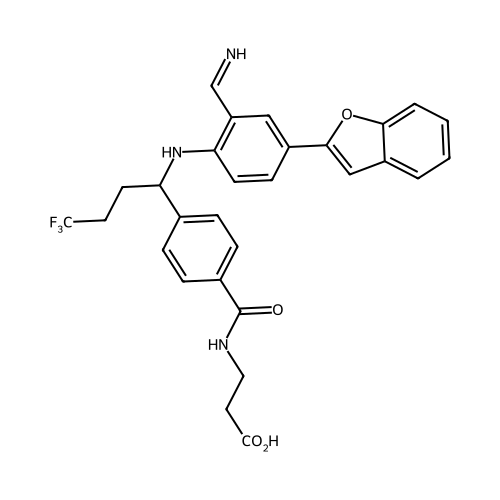 N=Cc1cc(-c2cc3ccccc3o2)ccc1NC(CCC(F)(F)F)c1ccc(C(=O)NCCC(=O)O)cc1